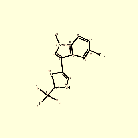 Cn1cc(C2=CNC(C(F)(F)F)O2)c2cc(F)ccc21